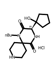 CCCCN1C(=O)[C@@H](C2(O)CCCC2)NC(=O)C12CCNCC2.Cl